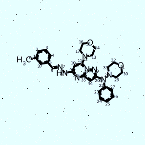 Cc1cccc(C=NNc2cc(N3CCOCC3)n3nc(N(c4ccccc4)N4CCOCC4)cc3n2)c1